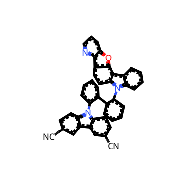 N#Cc1ccc2c(c1)c1cc(C#N)ccc1n2-c1ccccc1-c1ccccc1-n1c2ccccc2c2c3oc4cccnc4c3ccc21